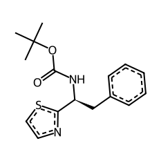 CC(C)(C)OC(=O)N[C@@H](Cc1ccccc1)c1nccs1